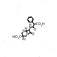 CC(=O)C1(C(=O)O)CS[C@@H]2C(NC(=O)C(C(=O)O)c3ccccc3)C(=O)N2C1